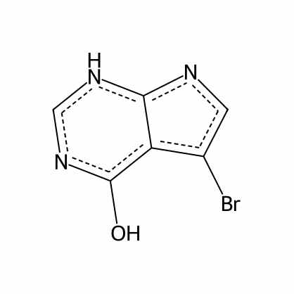 Oc1nc[nH]c2ncc(Br)c1-2